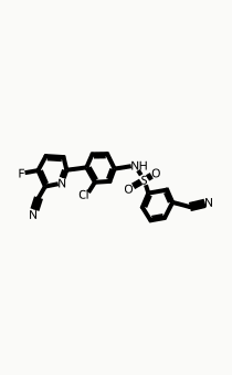 N#Cc1cccc(S(=O)(=O)Nc2ccc(-c3ccc(F)c(C#N)n3)c(Cl)c2)c1